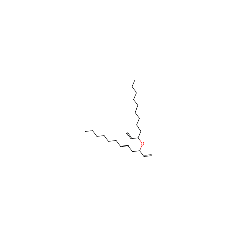 C=CC(CCCCCCCCC)OC(C=C)CCCCCCCCC